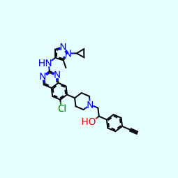 C#Cc1ccc(C(O)CN2CCC(c3cc4nc(Nc5cnn(C6CC6)c5C)ncc4cc3Cl)CC2)cc1